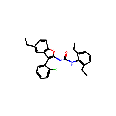 CCc1ccc2oc(NC(=O)Nc3c(CC)cccc3CC)c(-c3ccccc3Cl)c2c1